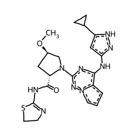 CO[C@@H]1C[C@@H](C(=O)NC2=NCCS2)N(c2nc(Nc3cc(C4CC4)[nH]n3)c3cccn3n2)C1